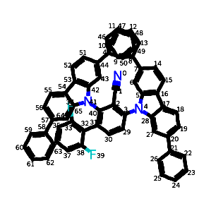 N#Cc1c(-n2c3cc(-c4ccccc4)ccc3c3ccc(-c4ccccc4)cc32)ccc(-c2c(F)cccc2F)c1-n1c2cc(-c3ccccc3)ccc2c2ccc(-c3ccccc3)cc21